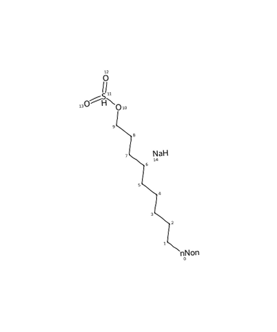 CCCCCCCCCCCCCCCCCCO[SH](=O)=O.[NaH]